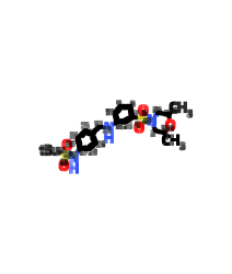 CC1CN(S(=O)(=O)c2cccc(NCc3ccc(NS(=O)(=O)C(C)(C)C)cc3)c2)CC(C)O1